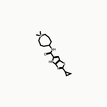 C[Si]1(C)CCCC(NC(=O)c2cc3sc(C4CC4)nc3[nH]2)CCC1